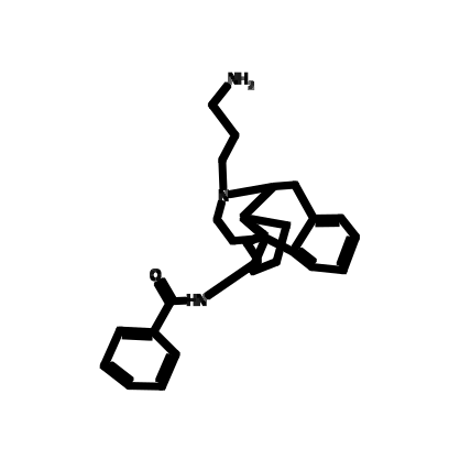 NCCCN1CCC23c4ccccc4CC1C21CCC(NC(=O)c2ccccc2)C3CC1